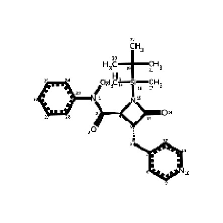 CN(C(=O)[C@@H]1[C@@H](Cc2ccncc2)C(=O)N1[Si](C)(C)C(C)(C)C)c1ccccc1